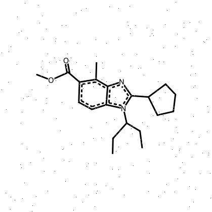 CCC(CC)n1c(C2CCCC2)nc2c(C)c(C(=O)OC)ccc21